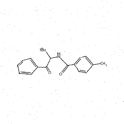 Cc1ccc(C(=O)NC(C(=O)c2ccccc2)C(C)(C)C)cc1